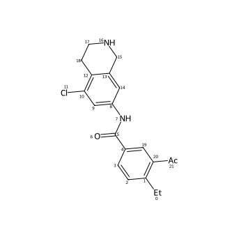 CCc1ccc(C(=O)Nc2cc(Cl)c3c(c2)CNCC3)cc1C(C)=O